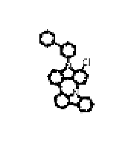 Clc1ccc2c3c4c(cccc4n(-c4cccc(-c5ccccc5)c4)c13)c1cccc3c4ccccc4n2c13